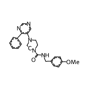 COc1ccc(CNC(=O)N2CCN(c3cncnc3-c3ccccc3)CC2)cc1